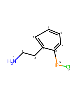 NCCc1ccccc1PCl